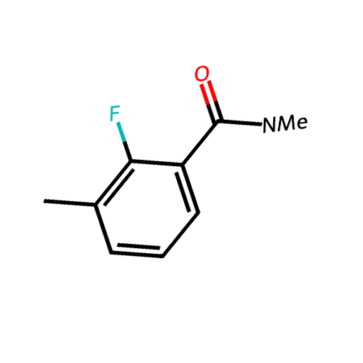 CNC(=O)c1cccc(C)c1F